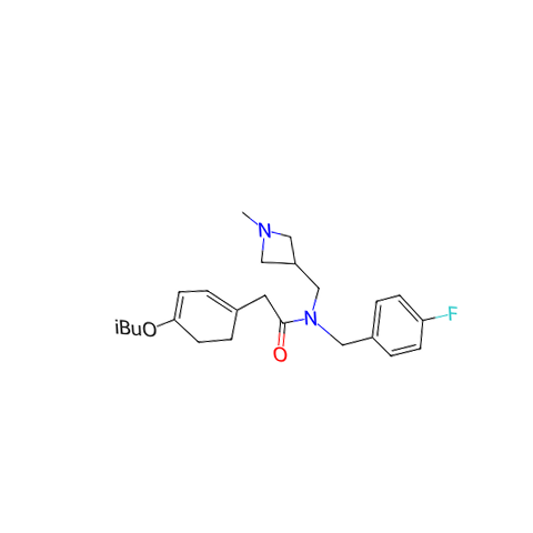 CC(C)COC1=CC=C(CC(=O)N(Cc2ccc(F)cc2)CC2CN(C)C2)CC1